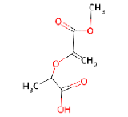 C=C(OC(C)C(=O)O)C(=O)OC